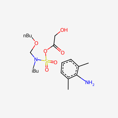 CCCCOCN(C(C)CC)S(=O)(=O)OC(=O)CO.Cc1cccc(C)c1N